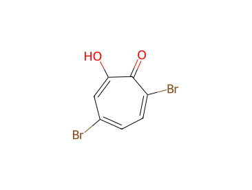 O=c1c(O)cc(Br)ccc1Br